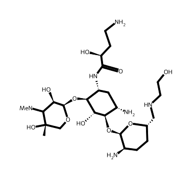 CNC1[C@@H](O)[C@@H](O[C@@H]2[C@@H](O)[C@H](O[C@H]3O[C@H](CNCCO)CC[C@H]3N)[C@@H](N)C[C@H]2NC(=O)[C@@H](O)CCN)OC[C@]1(C)O